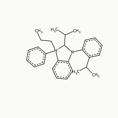 CCC[N+]1(c2ccccc2)c2ccccc2N(c2ccccc2C(C)C)C1C(C)C